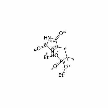 CCOP(=O)(OCC)C(C)CC1NC(=O)NC1=O